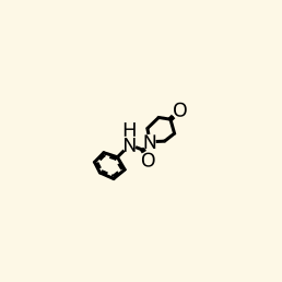 O=C1CCN(C(=O)Nc2ccccc2)CC1